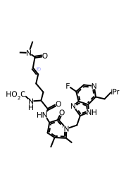 Cc1cc(NC(=O)C(CC/C=C/C(=O)N(C)C)NC(=O)O)c(=O)n(Cc2nc3c(F)cnc(CC(C)C)c3[nH]2)c1C